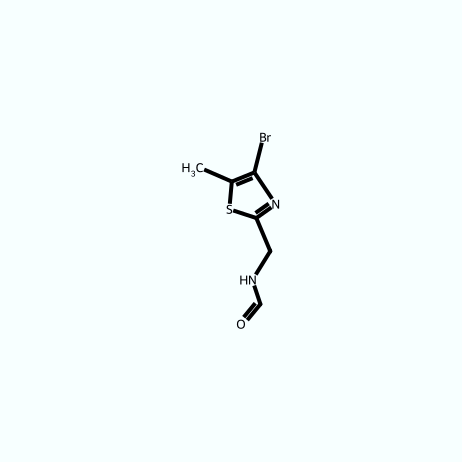 Cc1sc(CNC=O)nc1Br